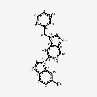 Fc1ccc2ncn(-c3ncc4ncn(Cc5cnccn5)c4n3)c2c1